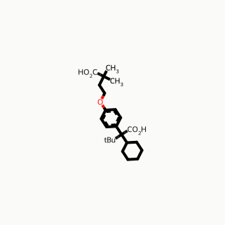 CC(C)(CCOc1ccc(C(C(=O)O)(C2CCCCC2)C(C)(C)C)cc1)C(=O)O